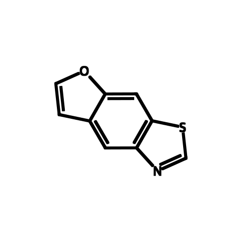 c1cc2cc3ncsc3cc2o1